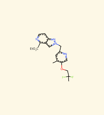 CCOC(=O)c1nccc2nn(Cc3cc(C)c(OCC(C)(F)F)cn3)cc12